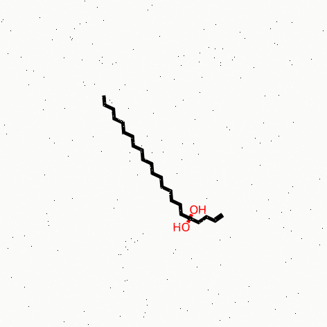 C=CCCC(O)(O)CCCCCCCCCCCCCCCCCC